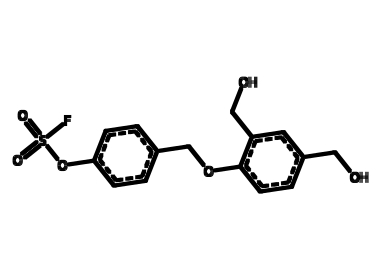 O=S(=O)(F)Oc1ccc(COc2ccc(CO)cc2CO)cc1